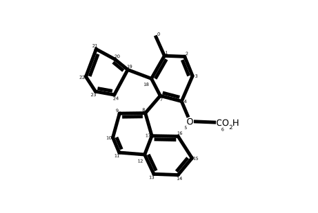 Cc1ccc(OC(=O)O)c(-c2cccc3ccccc23)c1-c1ccccc1